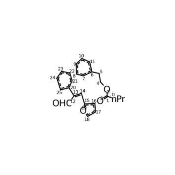 CCCC(=O)OCCc1ccccc1.O=CC(=Cc1ccco1)c1ccccc1